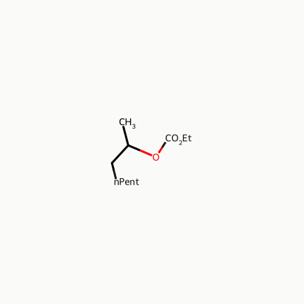 CCCCCCC(C)OC(=O)OCC